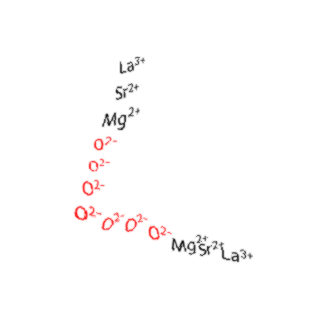 [La+3].[La+3].[Mg+2].[Mg+2].[O-2].[O-2].[O-2].[O-2].[O-2].[O-2].[O-2].[Sr+2].[Sr+2]